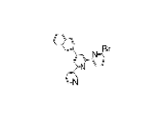 Brc1cccc(-c2cc(-c3ccc4ccccc4c3)cc(-c3cccnc3)n2)n1